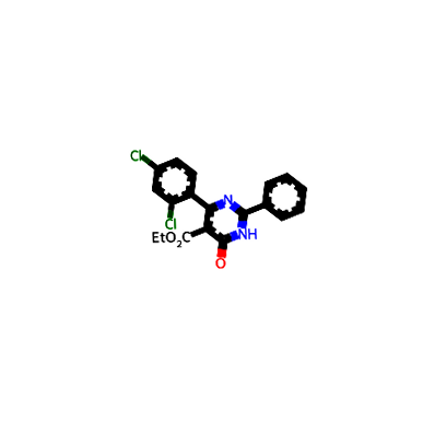 CCOC(=O)c1c(-c2ccc(Cl)cc2Cl)nc(-c2ccccc2)[nH]c1=O